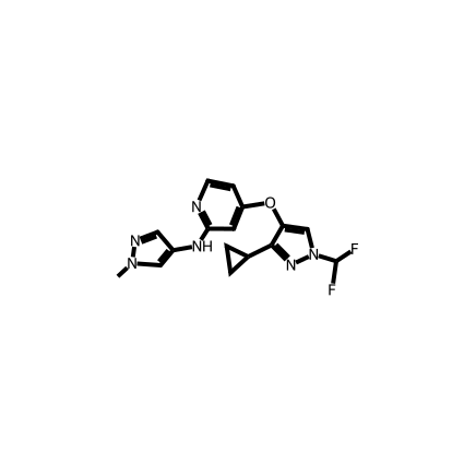 Cn1cc(Nc2cc(Oc3cn(C(F)F)nc3C3CC3)ccn2)cn1